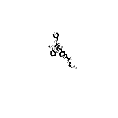 C=CCOC(=O)c1cc2cc([C@H](F)P(=O)(N[C@@H](C)C(=O)OCC3CCOCC3)Oc3ccccc3)ccc2s1